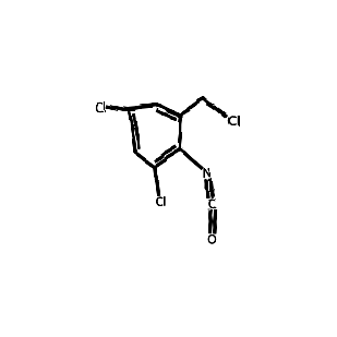 O=C=Nc1c(Cl)cc(Cl)cc1CCl